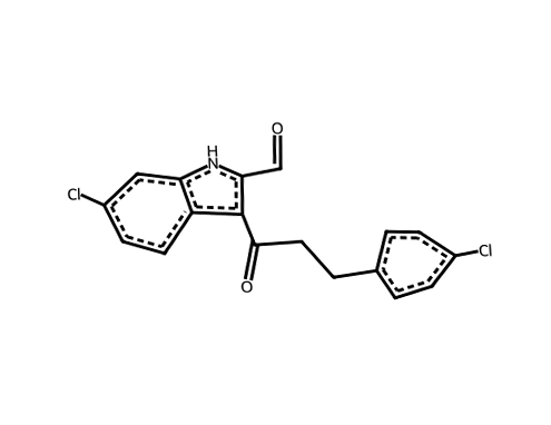 O=Cc1[nH]c2cc(Cl)ccc2c1C(=O)CCc1ccc(Cl)cc1